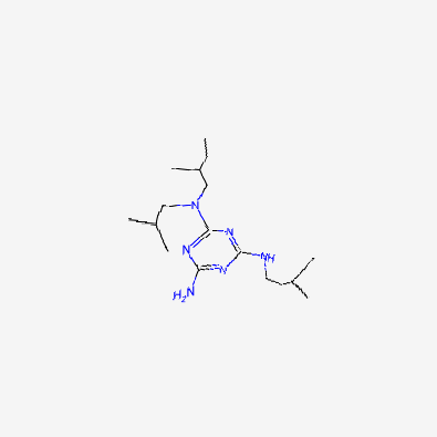 CC(C)CNc1nc(N)nc(N(CC(C)C)CC(C)C)n1